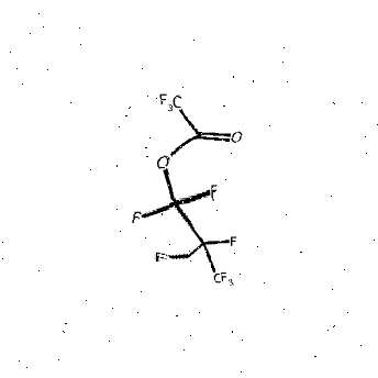 O=C(OC(F)(F)C(F)(F)C(F)(F)F)C(F)(F)F